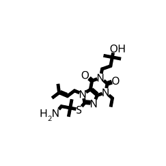 CCn1c(=O)n(CCC(C)(C)O)c(=O)c2c1nc(SC(C)(C)CN)n2CC=C(C)C